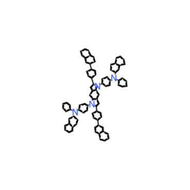 c1ccc(N(c2ccc(-n3c(-c4ccc(-c5ccc6ccccc6c5)cc4)cc4cc5c(cc(-c6ccc(-c7ccc8ccccc8c7)cc6)n5-c5ccc(N(c6ccccc6)c6ccc7ccccc7c6)cc5)cc43)cc2)c2ccc3ccccc3c2)cc1